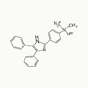 CCC[Si](C)(C)c1ccc(-c2nc(-c3ccccc3)c(-c3ccccc3)[nH]2)cc1